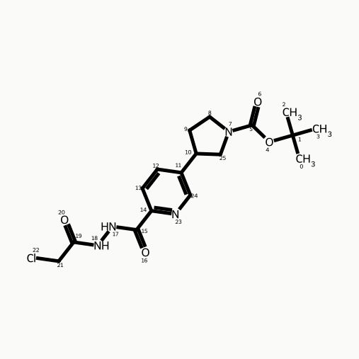 CC(C)(C)OC(=O)N1CCC(c2ccc(C(=O)NNC(=O)CCl)nc2)C1